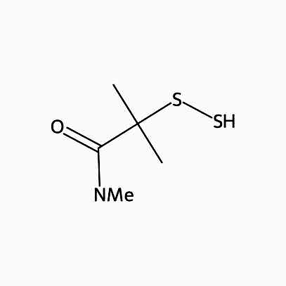 CNC(=O)C(C)(C)SS